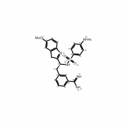 COc1ccc2c(c1)CC([C@H](Cc1cccc(C(=N)N)c1)NS(=O)(=O)c1ccc(NC(C)=O)cc1)=N2